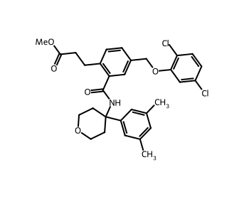 COC(=O)CCc1ccc(COc2cc(Cl)ccc2Cl)cc1C(=O)NC1(c2cc(C)cc(C)c2)CCOCC1